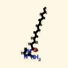 CCCCCCCCCCCCCC(=O)n1ccnc1N